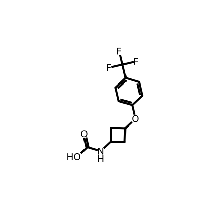 O=C(O)NC1CC(Oc2ccc(C(F)(F)F)cc2)C1